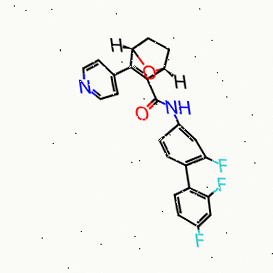 O=C(Nc1ccc(-c2ccc(F)cc2F)c(F)c1)C1=C(c2ccncc2)[C@@H]2CC[C@H]1O2